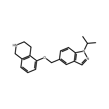 CC(C)n1ncc2cc(COc3cccc4c3CCNC4)ccc21